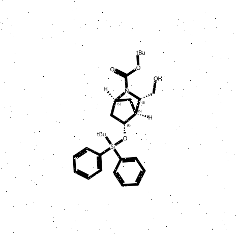 CC(C)(C)OC(=O)N1[C@H]2C[C@@H]([C@H]1CO)[C@H](O[Si](c1ccccc1)(c1ccccc1)C(C)(C)C)C2